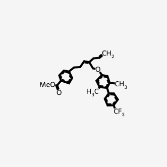 C=CCC(=CCCc1ccc(C(=O)OC)cc1)COc1cc(C)c(-c2ccc(C(F)(F)F)cc2)c(C)c1